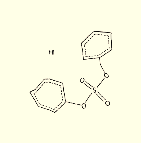 I.O=S(=O)(Oc1ccccc1)Oc1ccccc1